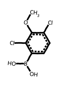 COc1c(Cl)ccc(B(O)O)c1Cl